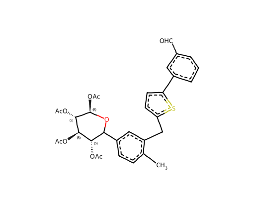 CC(=O)O[C@H]1OC(c2ccc(C)c(Cc3ccc(-c4cccc(C=O)c4)s3)c2)[C@H](OC(C)=O)[C@@H](OC(C)=O)[C@@H]1OC(C)=O